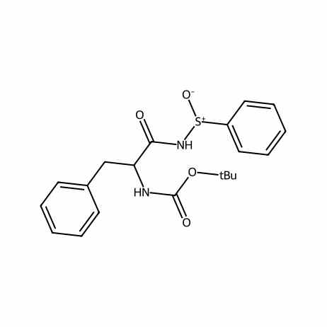 CC(C)(C)OC(=O)NC(Cc1ccccc1)C(=O)N[S+]([O-])c1ccccc1